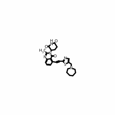 Cc1nc2cccc(C#Cc3ncc(CN4CCCCCC4)s3)c2c(=O)n1C1CCC(=O)NC1=O